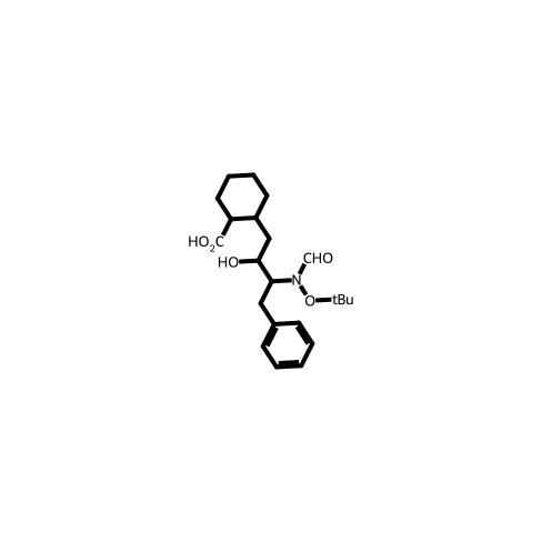 CC(C)(C)ON(C=O)C(Cc1ccccc1)C(O)CC1CCCCC1C(=O)O